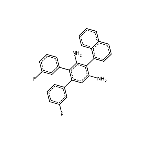 Nc1cc(-c2cccc(F)c2)c(-c2cccc(F)c2)c(N)c1-c1cccc2ccccc12